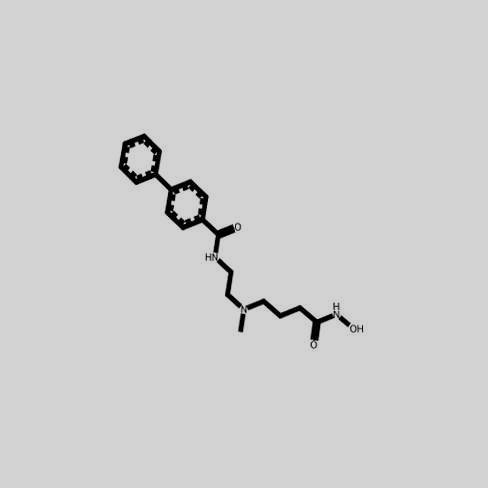 CN(CCCC(=O)NO)CCNC(=O)c1ccc(-c2ccccc2)cc1